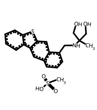 CC(CO)(CO)NCc1cccc2cc3c(cc12)sc1ccccc13.CS(=O)(=O)O